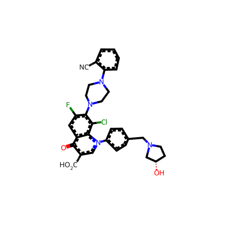 N#Cc1ccccc1N1CCN(c2c(F)cc3c(=O)c(C(=O)O)cn(-c4ccc(CN5CC[C@H](O)C5)cc4)c3c2Cl)CC1